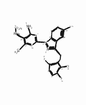 Nc1nc(-n2nc(Cc3c(F)ccc(F)c3Cl)c3cc(F)ccc32)nc(N)c1NC(=O)O